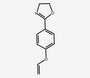 C=COc1ccc(C2=NCCO2)cc1